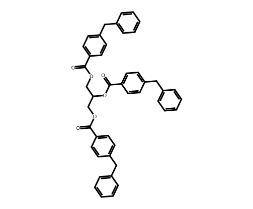 O=C(OCC(COC(=O)c1ccc(Cc2ccccc2)cc1)OC(=O)c1ccc(Cc2ccccc2)cc1)c1ccc(Cc2ccccc2)cc1